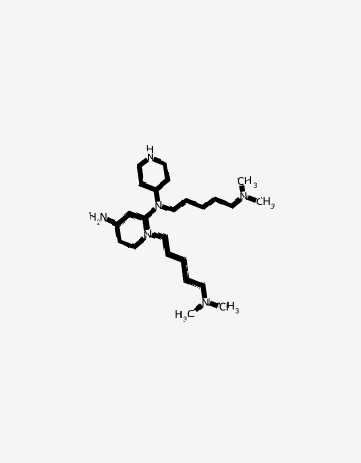 CN(C)CCCCCN1CCC(N)CC1N(CCCCCN(C)C)C1CCNCC1